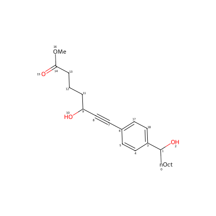 CCCCCCCCC(O)c1ccc(C#CC(O)CCCC(=O)OC)cc1